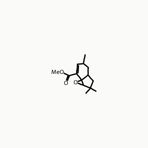 COC(=O)C1=CC(C)CC2CC(C)(C)C3OC123